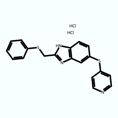 Cl.Cl.c1ccc(SCc2nc3cc(Sc4ccncc4)ccc3[nH]2)cc1